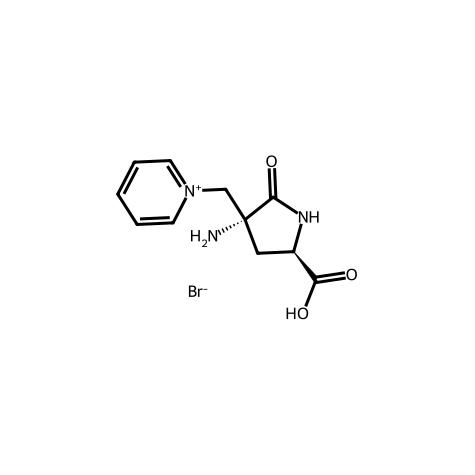 N[C@@]1(C[n+]2ccccc2)C[C@H](C(=O)O)NC1=O.[Br-]